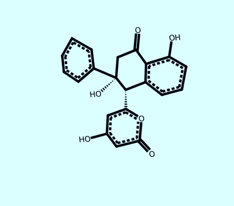 O=C1C[C@](O)(c2ccccc2)[C@@H](c2cc(O)cc(=O)o2)c2cccc(O)c21